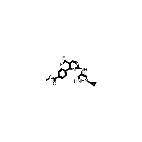 COC(=O)c1ccc(-c2nc(N/C(C=N)=C/NC3CC3)ncc2C(F)F)cc1